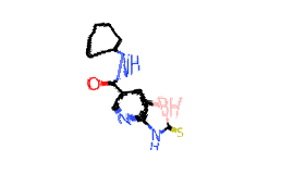 O=C(NC1CCCCC1)c1cnc2c(c1)BC(=S)N2